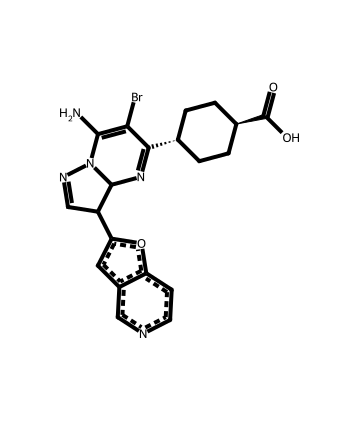 NC1=C(Br)C([C@H]2CC[C@H](C(=O)O)CC2)=NC2C(c3cc4cnccc4o3)C=NN12